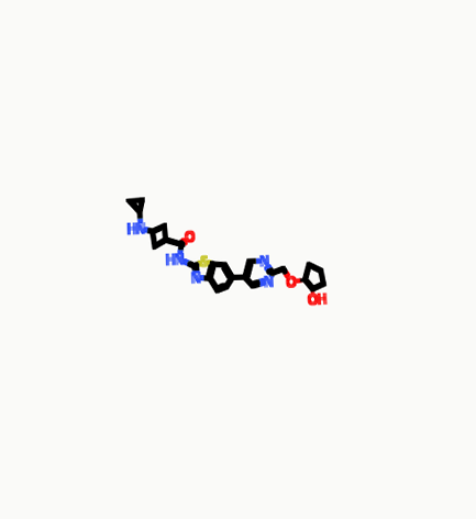 O=C(Nc1nc2ccc(-c3cnc(CO[C@H]4CCC[C@@H]4O)nc3)cc2s1)C1CC(NC2CC2)C1